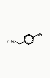 [CH2]CCc1ccc(CCCCCCC)cc1